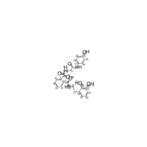 O=C(CNS(=O)(=O)c1ccccc1C(=O)NCCc1cccc(O)c1O)Nc1ccc(O)cc1